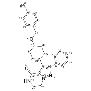 CC(C)c1ccc(COC2CCN(c3c(-c4ccncc4)nn4c3C(=O)NCC4)CC2)cc1